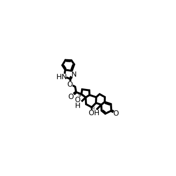 CC12C=CC(=O)C=C1CCC1C2[C@@H](O)CC2(C)C1CC[C@]2(O)C(=O)COc1nc2ccccc2[nH]1